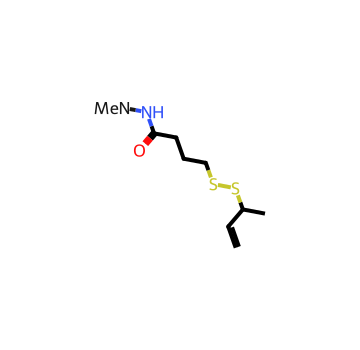 C=CC(C)SSCCCC(=O)NNC